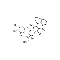 COc1cccc2c1C(=O)c1c(O)c3c(c(O)c1C2=O)C[C@@](O)(C(=O)CO)C[C@@H]3O[C@H]1C[C@@H](N)[C@@H](O)[C@H](C)O1